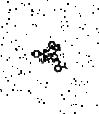 CC(C)c1ccccc1COCC(NC(=O)C(C)(C)N)c1nnc2cccc(COC(=O)N3CCOCC3)n12